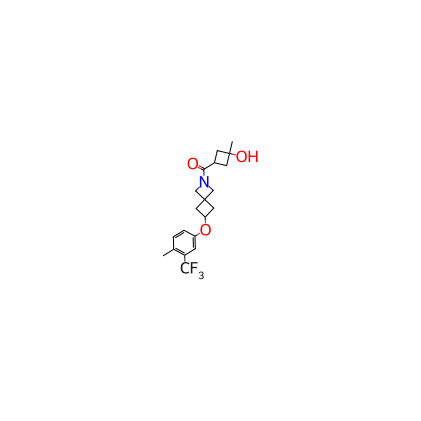 Cc1ccc(OC2CC3(C2)CN(C(=O)C2CC(C)(O)C2)C3)cc1C(F)(F)F